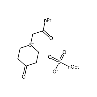 CCCC(=O)C[S+]1CCC(=O)CC1.CCCCCCCCS(=O)(=O)[O-]